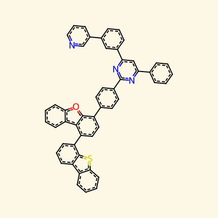 c1ccc(-c2cc(-c3cccc(-c4cccnc4)c3)nc(-c3ccc(-c4ccc(-c5cccc6c5sc5ccccc56)c5c4oc4ccccc45)cc3)n2)cc1